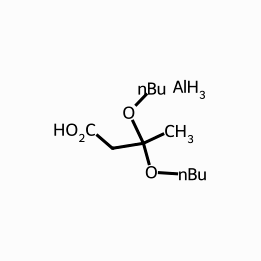 CCCCOC(C)(CC(=O)O)OCCCC.[AlH3]